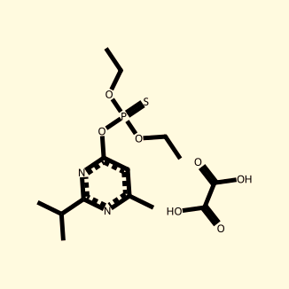 CCOP(=S)(OCC)Oc1cc(C)nc(C(C)C)n1.O=C(O)C(=O)O